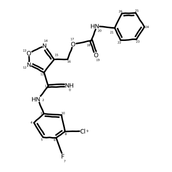 N=C(Nc1ccc(F)c(Cl)c1)c1nonc1COC(=O)Nc1ccccc1